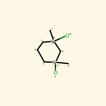 C[Si]1(Cl)CCC[Si](C)(Cl)C1